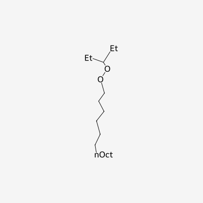 CCCCCCCCCCCCCCOOC(CC)CC